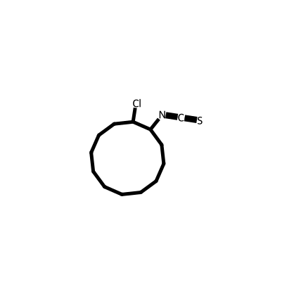 S=C=NC1CCCCCCCCCCC1Cl